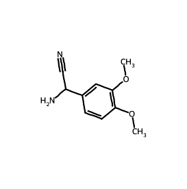 COc1ccc(C(N)C#N)cc1OC